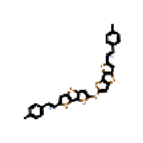 Cc1ccc(/C=C/c2cc3sc4cc(Sc5cc6sc7cc(/C=C/c8ccc(C)cc8)sc7c6s5)sc4c3s2)cc1